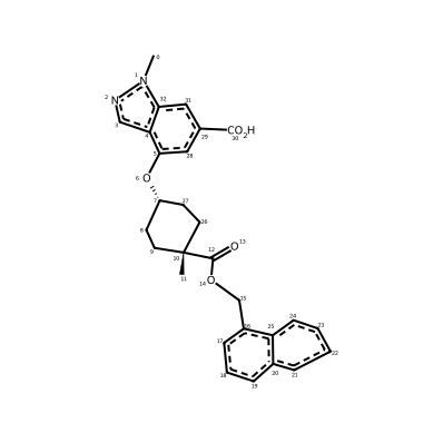 Cn1ncc2c(O[C@H]3CC[C@@](C)(C(=O)OCc4cccc5ccccc45)CC3)cc(C(=O)O)cc21